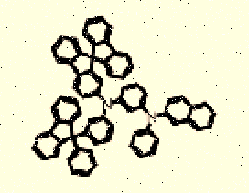 c1ccc(N(c2cccc(N(c3cccc(C4(c5ccccc5)c5ccccc5-c5ccccc54)c3)c3ccc4c(c3)C3(c5ccccc5-c5ccccc53)c3ccccc3-4)c2)c2ccc3ccccc3c2)cc1